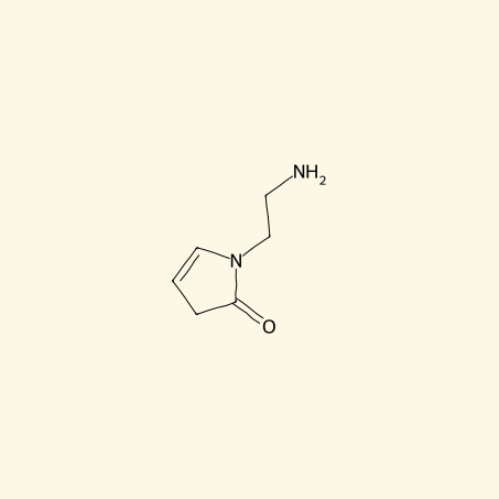 NCCN1C=CCC1=O